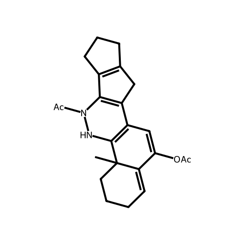 CC(=O)OC1=CC2=C(NN(C(C)=O)C3=C2CC2=C3CCC2)C2(C)CCCC=C12